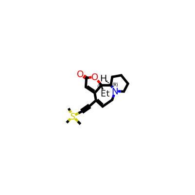 CC[C@]12OC(=O)C=C1C(C#CS(C)(C)C)=CCN1CCCC[C@@H]12